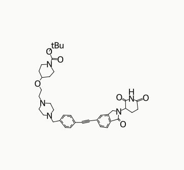 CC(C)(C)OC(=O)N1CCC(OCCN2CCN(Cc3ccc(C#Cc4ccc5c(c4)CN(C4CCC(=O)NC4=O)C5=O)cc3)CC2)CC1